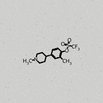 Cc1cc(C2CCN(C)CC2)ccc1OS(=O)(=O)C(F)(F)F